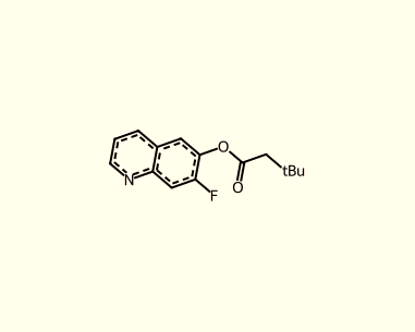 CC(C)(C)CC(=O)Oc1cc2cccnc2cc1F